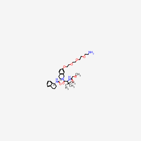 COCC(=O)NC(C(=O)N1Cc2cc(OCCOCCOCCOCCN)ccc2C[C@H]1C(=O)N[C@@H]1CCCc2ccccc21)C(C)(C)C